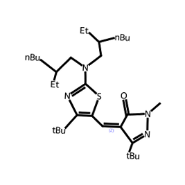 CCCCC(CC)CN(CC(CC)CCCC)c1nc(C(C)(C)C)c(/C=C2\C(=O)N(C)N=C2C(C)(C)C)s1